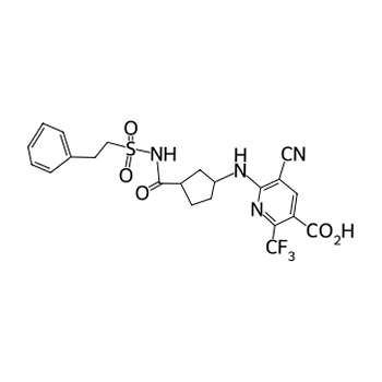 N#Cc1cc(C(=O)O)c(C(F)(F)F)nc1NC1CCC(C(=O)NS(=O)(=O)CCc2ccccc2)C1